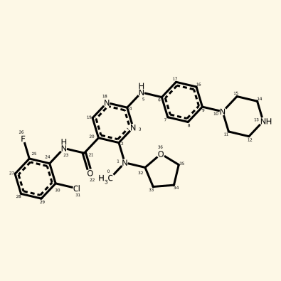 CN(c1nc(Nc2ccc(N3CCNCC3)cc2)ncc1C(=O)Nc1c(F)cccc1Cl)C1CCCO1